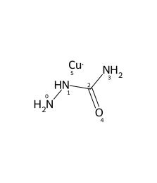 NNC(N)=O.[Cu]